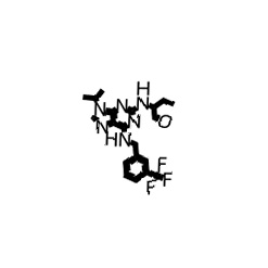 CCC(C=O)Nc1nc(NCc2cccc(C(F)(F)F)c2)c2ncn(C(C)C)c2n1